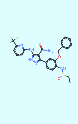 CC[S+]([O-])Nc1ccc(-c2n[nH]c(Nc3cccc(C(F)(F)F)n3)c2C(N)=O)cc1OCc1ccccc1